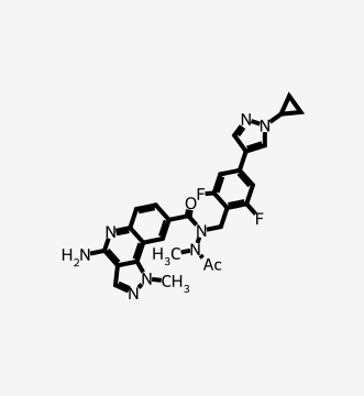 CC(=O)N(C)N(Cc1c(F)cc(-c2cnn(C3CC3)c2)cc1F)C(=O)c1ccc2nc(N)c3cnn(C)c3c2c1